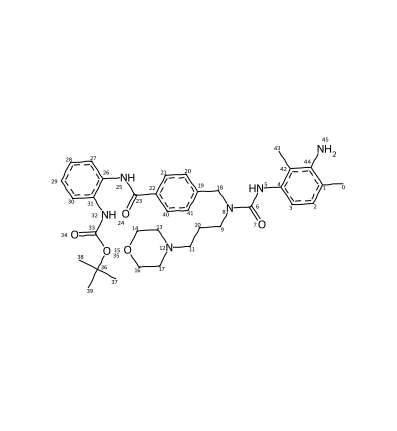 Cc1ccc(NC(=O)N(CCCN2CCOCC2)Cc2ccc(C(=O)Nc3ccccc3NC(=O)OC(C)(C)C)cc2)c(C)c1N